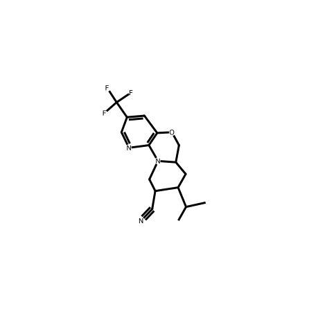 CC(C)C1CC2COc3cc(C(F)(F)F)cnc3N2CC1C#N